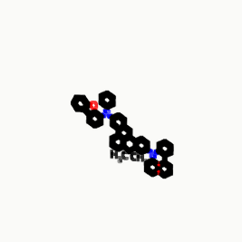 CC1(C)c2cc(N(c3ccccc3)c3ccccc3-c3ccccc3)ccc2-c2cc3ccc(N(c4ccccc4)c4cccc5c4oc4ccccc45)cc3c3cccc1c23